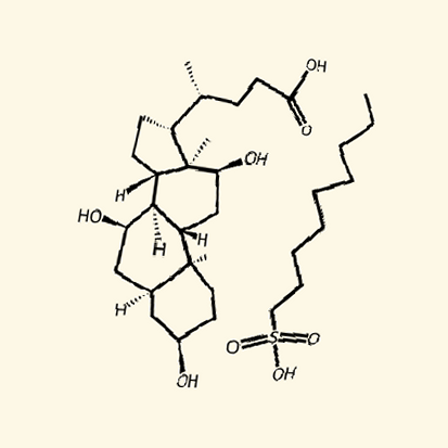 CCCCCCCCCS(=O)(=O)O.C[C@H](CCC(=O)O)[C@H]1CC[C@H]2[C@@H]3[C@H](O)C[C@@H]4C[C@H](O)CC[C@]4(C)[C@H]3C[C@H](O)[C@]12C